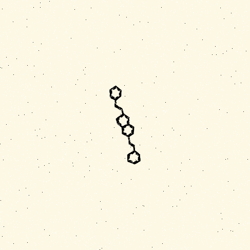 C(=C\c1ccc2cc(/C=C/c3ccccc3)ccc2c1)/c1ccccc1